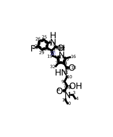 CCN(CC)C(=O)[C@@H](O)CCNC(=O)c1c(C)[nH]c(/C=C2\C(=O)Nc3ccc(F)cc32)c1C